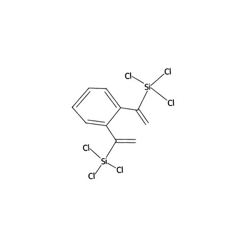 C=C(c1ccccc1C(=C)[Si](Cl)(Cl)Cl)[Si](Cl)(Cl)Cl